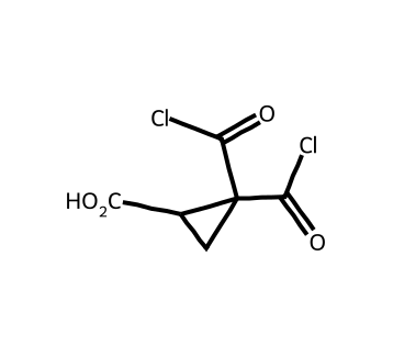 O=C(O)C1CC1(C(=O)Cl)C(=O)Cl